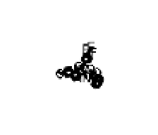 COc1ccc2c(OCc3ccc(C(F)(F)F)cc3)c(C(=O)NC(C(=O)O)C34CC5CC(CC(C5)C3)C4)ccc2c1